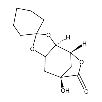 O=C1O[C@@H]2C[C@@]1(O)CC1OC3(CCCCC3)O[C@H]12